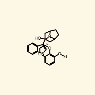 CCOc1cccc2c1O[C@@H](CN1C3CCC1CC(O)(c1csc4ccccc14)C3)CO2